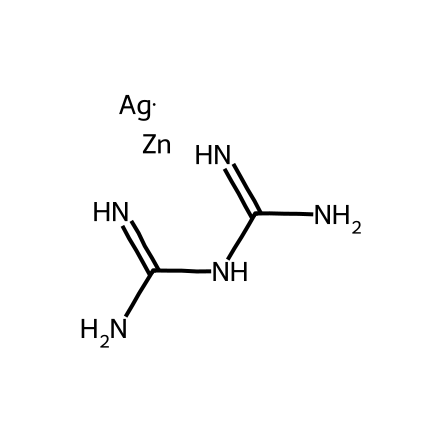 N=C(N)NC(=N)N.[Ag].[Zn]